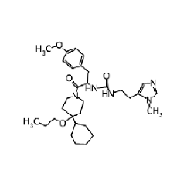 CCCOC1(C2CCCCC2)CCN(C(=O)C(Cc2ccc(OC)cc2)NC(=O)NCCc2cncn2C)CC1